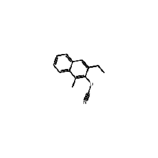 CCc1cc2ccccc2c(C)c1OC#N